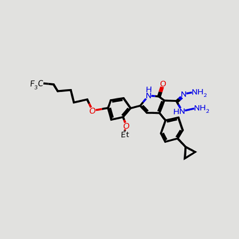 CCOc1cc(OCCCCCC(F)(F)F)ccc1-c1cc(-c2ccc(C3CC3)cc2)c(/C(=N/N)NN)c(=O)[nH]1